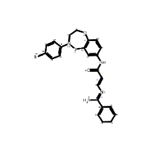 N/C(=N\C=C\C(=O)Nc1ccc2c(c1)SN(c1ccc(Br)cc1)CCO2)C1=CCCC=C1